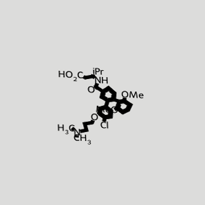 COc1cccc(OC)c1-c1ccc(C(=O)NC(CC(=O)O)C(C)C)cc1-c1ccc(Cl)c(OCCCN(C)C)c1